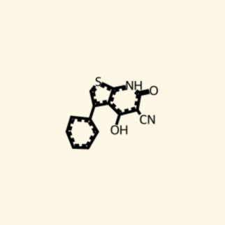 N#Cc1c(O)c2c(-c3ccccc3)csc2[nH]c1=O